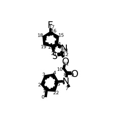 Cc1cccc(N(C)C(=O)COc2nc3cc(F)ccc3s2)c1